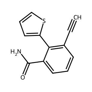 C#Cc1cccc(C(N)=O)c1-c1cccs1